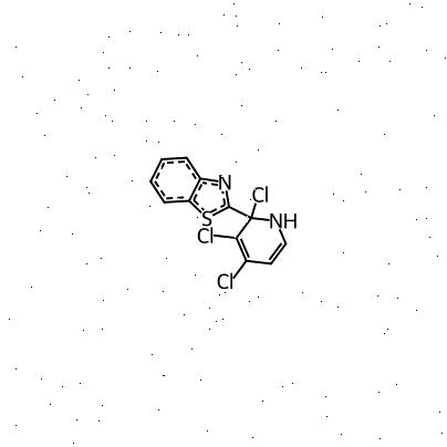 ClC1=C(Cl)C(Cl)(c2nc3ccccc3s2)NC=C1